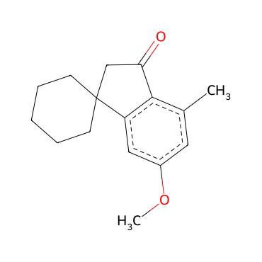 COc1cc(C)c2c(c1)C1(CCCCC1)CC2=O